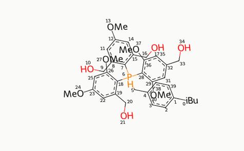 CCC(C)c1ccc(C[PH](c2c(CO)cc(OC)cc2CO)(c2c(CO)cc(OC)cc2OC)c2c(OC)cc(CO)cc2OC)cc1